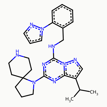 CC(C)c1cnn2c(NCc3ccccc3-n3cccn3)nc(N3CCCC34CCNCC4)nc12